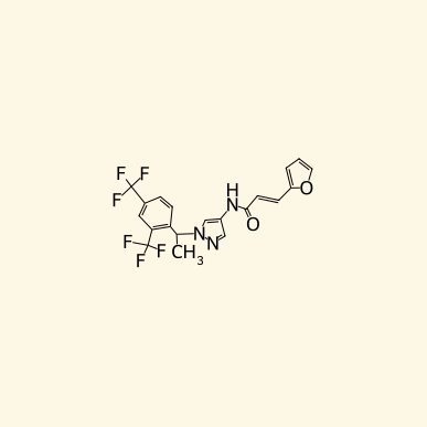 CC(c1ccc(C(F)(F)F)cc1C(F)(F)F)n1cc(NC(=O)C=Cc2ccco2)cn1